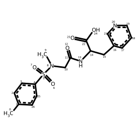 Cc1ccc(S(=O)(=O)N(C)CC(=O)NC(Cc2cccnc2)C(=O)O)cc1